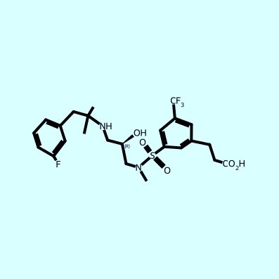 CN(C[C@H](O)CNC(C)(C)Cc1cccc(F)c1)S(=O)(=O)c1cc(CCC(=O)O)cc(C(F)(F)F)c1